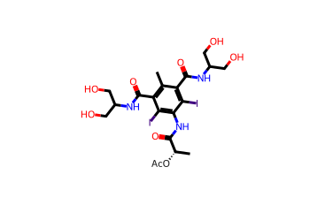 CC(=O)O[C@@H](C)C(=O)Nc1c(I)c(C(=O)NC(CO)CO)c(C)c(C(=O)NC(CO)CO)c1I